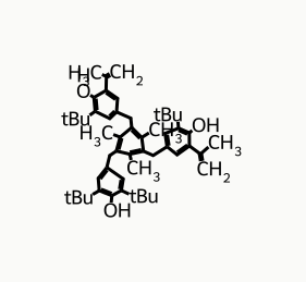 C=C(C)c1cc(Cc2c(C)c(Cc3cc(C(=C)C)c(O)c(C(C)(C)C)c3)c(C)c(Cc3cc(C(C)(C)C)c(O)c(C(C)(C)C)c3)c2C)cc(C(C)(C)C)c1O